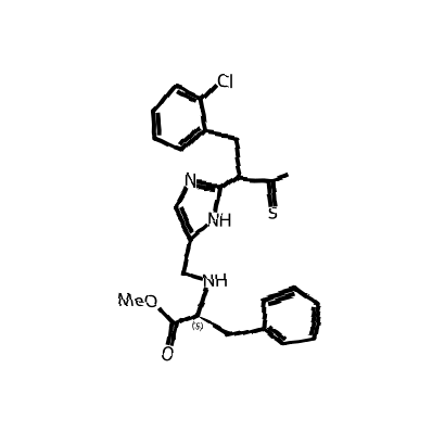 COC(=O)[C@H](Cc1ccccc1)NCc1cnc(C(Cc2ccccc2Cl)C(C)=S)[nH]1